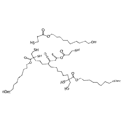 CCCCCCCCCCCCCCCCCCOC(=O)C(S)(CS)CCCCCCC(CCCC(S)(CS)C(=O)OCCCCCCCCCCCCCCCCCC)C(=C=O)CC(=S)OC(=O)CCS.O=C(CCS)OCCCCCCCCCCO